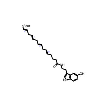 CCCCC/C=C/C/C=C/C/C=C/C/C=C/CCCC(=O)NCCc1c[nH]c2ccc(O)cc12